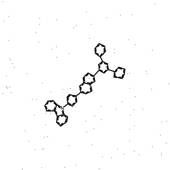 c1ccc(-c2cc(-c3ccccc3)cc(-c3ccc4cc(-c5ccc(-n6c7ccccc7c7ccccc76)cc5)ccc4c3)c2)cc1